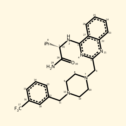 CC(C)[C@H](Nc1nc(CN2CCN(Cc3cccc(C(F)(F)F)c3)CC2)nc2ccccc12)C(N)=O